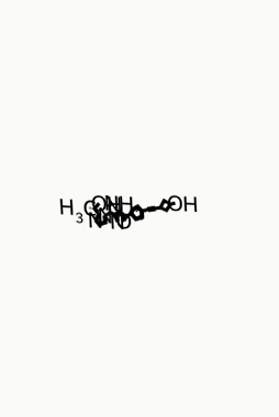 C[C@H](O)c1nccn1[C@H](CN)c1cc(-c2ccc(C#CC3CC(O)C3)cc2)on1